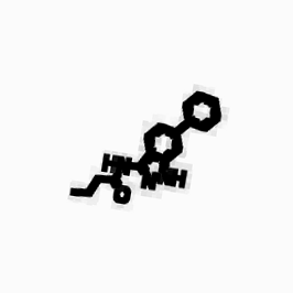 CCCC(=O)Nc1n[nH]c2cc(-c3ccccc3)ccc12